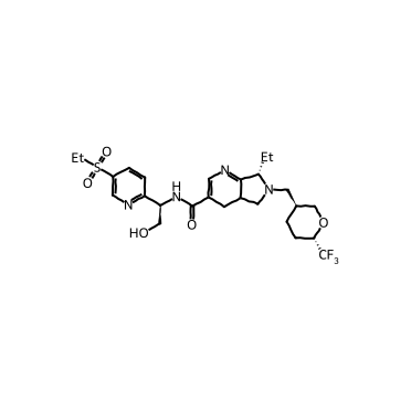 CC[C@H]1C2=NC=C(C(=O)N[C@@H](CO)c3ccc(S(=O)(=O)CC)cn3)CC2CN1C[C@@H]1CC[C@@H](C(F)(F)F)OC1